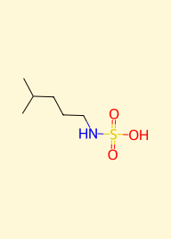 CC(C)CCCNS(=O)(=O)O